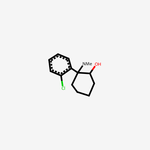 CNC1(c2ccccc2Cl)CCCCC1O